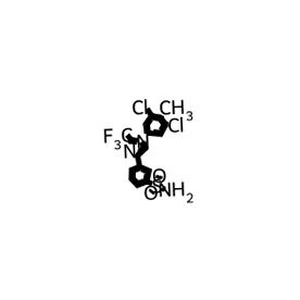 Cc1c(Cl)cc(-n2cc(-c3cccc(S(N)(=O)=O)c3)nc2C(F)(F)F)cc1Cl